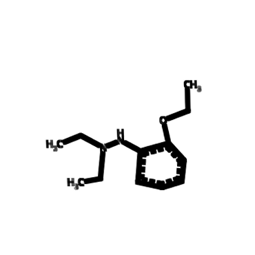 CCOc1ccccc1NN(CC)CC